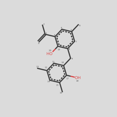 C=C(C)c1cc(C)cc(Cc2cc(C)cc(C)c2O)c1O